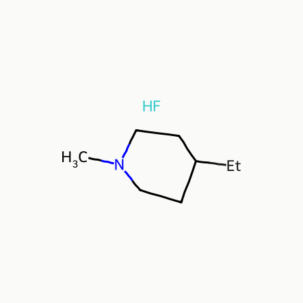 CCC1CCN(C)CC1.F